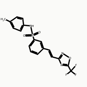 Cc1ccc(NS(=O)(=O)c2cccc(/C=C/c3noc(C(F)(F)F)n3)c2)cc1